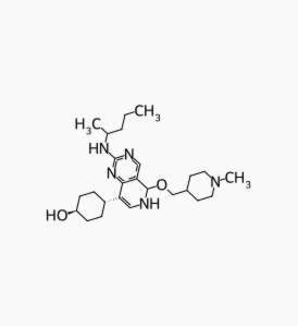 CCCC(C)Nc1ncc2c(n1)C([C@H]1CC[C@H](O)CC1)=CNC2OCC1CCN(C)CC1